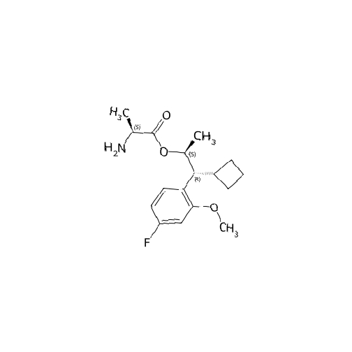 COc1cc(F)ccc1[C@@H](C1CCC1)[C@H](C)OC(=O)[C@H](C)N